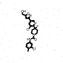 Cc1ccc(NC(=O)N2CCC(F)(c3ncc(-c4cc(CO)on4)cc3Cl)CC2)cc1Cl